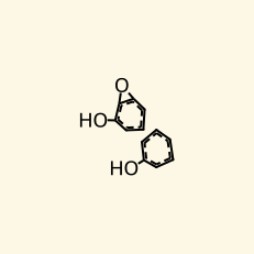 Oc1cccc2c1O2.Oc1ccccc1